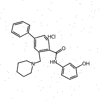 Cl.O=C(Nc1cccc(O)c1)c1ccc(-c2ccccc2)cc1CN1CCCCC1